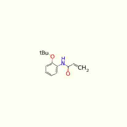 C=CC(=O)Nc1ccccc1OC(C)(C)C